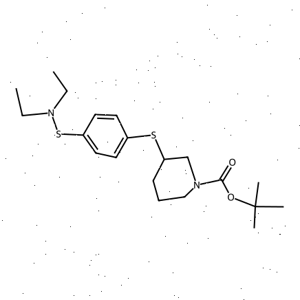 CCN(CC)Sc1ccc(SC2CCCN(C(=O)OC(C)(C)C)C2)cc1